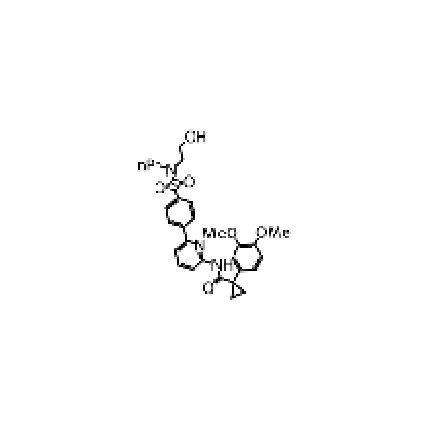 CCCN(CCO)S(=O)(=O)c1ccc(-c2cccc(NC(=O)C3(c4ccc(OC)c(OC)c4)CC3)n2)cc1